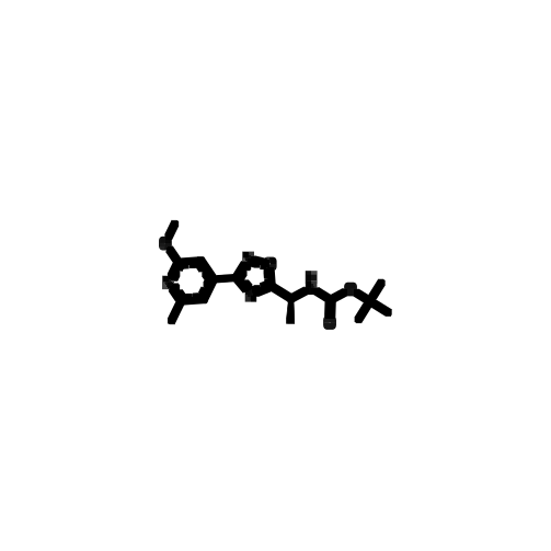 COc1cc(-c2noc([C@H](C)NC(=O)OC(C)(C)C)n2)cc(C)n1